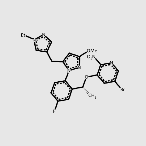 CCn1cc(Cc2cc(OC)nn2-c2ccc(F)cc2[C@@H](C)Oc2cc(Br)cnc2[N+](=O)[O-])cn1